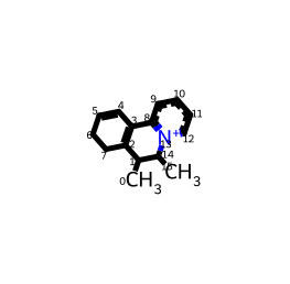 CC1C2=C(C=CCC2)c2cccc[n+]2C1C